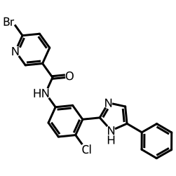 O=C(Nc1ccc(Cl)c(-c2ncc(-c3ccccc3)[nH]2)c1)c1ccc(Br)nc1